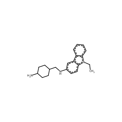 CCn1c2ccccc2c2cc(NCC3CCC(N)CC3)ccc21